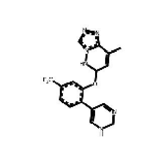 CC1=CC(Oc2cc(C(F)(F)F)ccc2C2=CNCN=C2)Nn2cnnc21